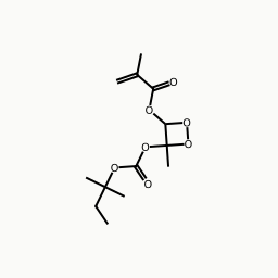 C=C(C)C(=O)OC1OOC1(C)OC(=O)OC(C)(C)CC